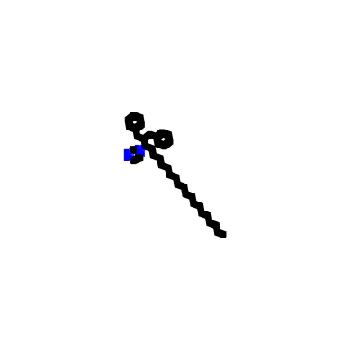 CCCCCCCCCCCCCCCCCCCC(C(Cc1ccccc1)Cc1ccccc1)n1ccnc1